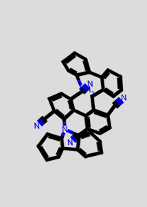 N#Cc1ccc(C#N)c(-c2c(C#N)ccc(C#N)c2-n2c3ccccc3c3ccccc32)c1Cc1ccccc1-c1ccccc1N